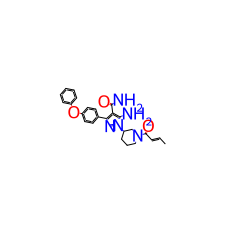 CC=CC(=O)N1CCCC(n2nc(-c3ccc(Oc4ccccc4)cc3)c(C(N)=O)c2N)C1